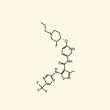 CCCN1CC[C@H](OC2=CC=C(NC(=O)c3c(C)nsc3Nc3cnc(C(F)(F)F)cn3)CN2)[C@@H](F)C1